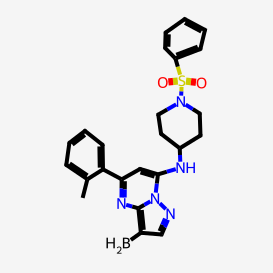 Bc1cnn2c(NC3CCN(S(=O)(=O)c4ccccc4)CC3)cc(-c3ccccc3C)nc12